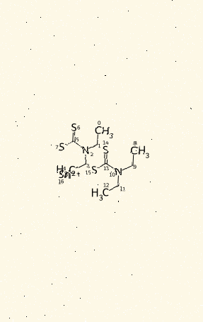 CCN(CC)C(=S)[S-].CCN(CC)C(=S)[S-].[Sn+2]